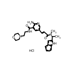 CC(c1cc2ccccc2[nH]1)N(C)C(=O)C=Cc1cnc(N)c(C(=O)NCCN2CCOCC2)c1.Cl